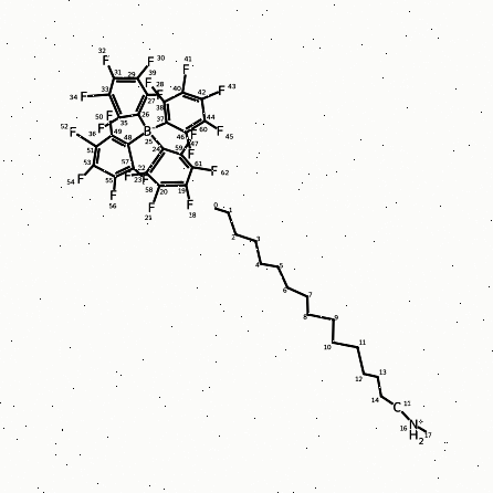 CCCCCCCCCCCCCCCC[NH2+]C.Fc1c(F)c(F)c([B-](c2c(F)c(F)c(F)c(F)c2F)(c2c(F)c(F)c(F)c(F)c2F)c2c(F)c(F)c(F)c(F)c2F)c(F)c1F